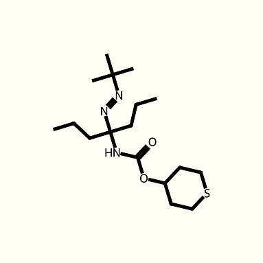 CCCC(CCC)(N=NC(C)(C)C)NC(=O)OC1CCSCC1